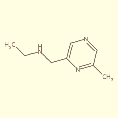 CCNCc1cncc(C)n1